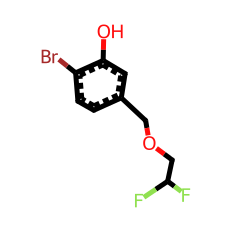 Oc1cc(COCC(F)F)ccc1Br